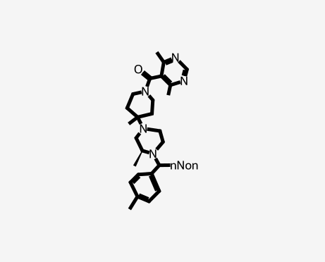 CCCCCCCCCC(c1ccc(C)cc1)N1CCN(C2(C)CCN(C(=O)c3c(C)ncnc3C)CC2)C[C@@H]1C